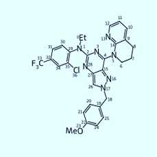 CCN(c1nc(N2CCCc3cccnc32)c2nn(Cc3ccc(OC)cc3)cc2n1)c1ccc(C(F)(F)F)cc1Cl